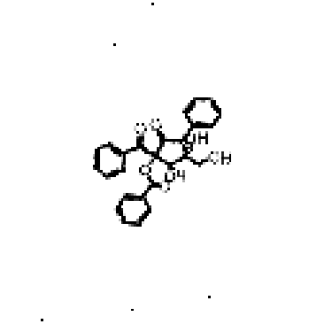 O=C(O[C@](C(=O)C(=O)c1ccccc1)(C(=O)c1ccccc1)C(O)C(O)CO)c1ccccc1